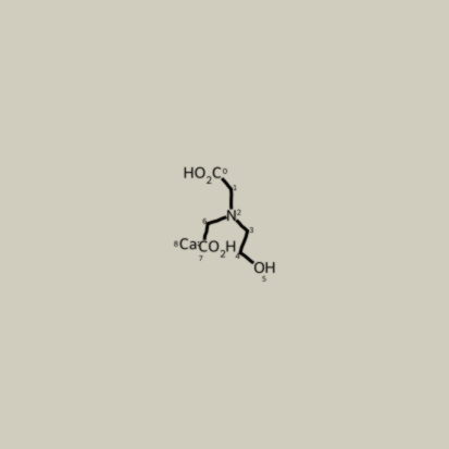 O=C(O)CN(CCO)CC(=O)O.[Ca]